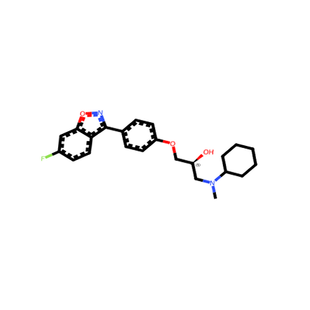 CN(C[C@H](O)COc1ccc(-c2noc3cc(F)ccc23)cc1)C1CCCCC1